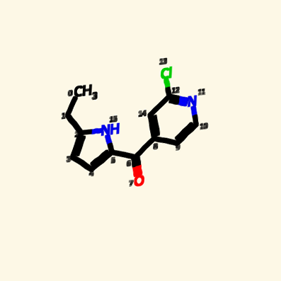 CCc1ccc(C(=O)c2ccnc(Cl)c2)[nH]1